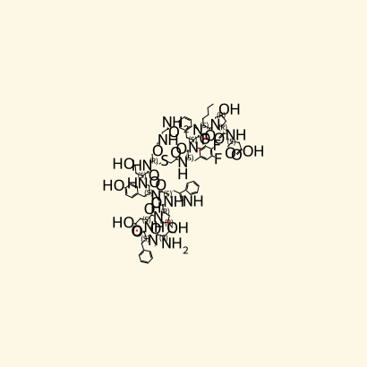 CCCC[C@@H](C(=O)N1C[C@H](O)C[C@@H]1C(=O)N[C@H](C=O)CC(=O)O)N(C)C(=O)[C@H](Cc1ccccc1)N(C)C(=O)[C@H](Cc1cc(F)c(F)c(F)c1)NC(=O)CSC[C@@H](COCNCC(N)=O)NC(=O)[C@H](CCO)NC(=O)[C@H](Cc1ccc(O)cc1)NC(=O)[C@H](Cc1c[nH]c2ccccc12)NC(=O)[C@H]1C[C@@H](O)CN1C(=O)[C@H](CC(=O)O)NC(=O)[C@H](Cc1ccccc1)N(C)C(=O)[C@@H](N)C(C)C